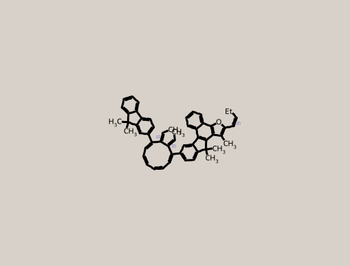 C/C=c1/c(-c2ccc3c(c2)-c2c(c4c(C)c(/C=C\CC)oc4c4ccccc24)C3(C)C)ccccccc(-c2ccc3c(c2)C(C)(C)c2ccccc2-3)/c1=C/C